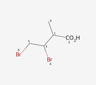 CC(C(=O)O)C(Br)CBr